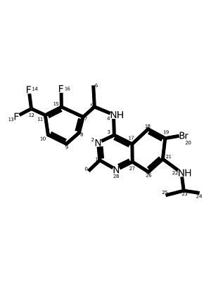 Cc1nc(NC(C)c2cccc(C(F)F)c2F)c2cc(Br)c(NC(C)C)cc2n1